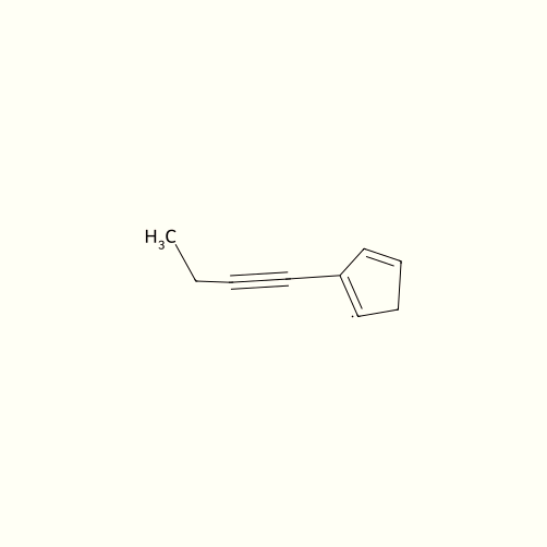 CCC#CC1=[C]CC=C1